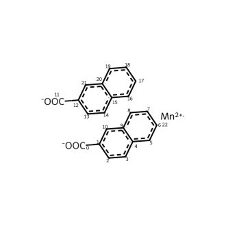 O=C([O-])c1ccc2ccccc2c1.O=C([O-])c1ccc2ccccc2c1.[Mn+2]